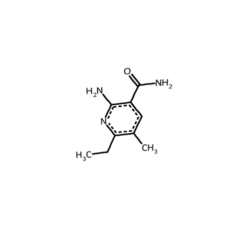 CCc1nc(N)c(C(N)=O)cc1C